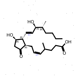 CCCC[C@@H](C)[C@H](O)/C=C/[C@H]1[C@H](O)CC(=O)[C@@H]1C/C=C\C(C)CCC(=O)O